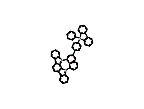 c1ccc(-n2c3ccccc3c3ccc4c5ccccc5n(-c5cccc(-c6ccc([Si]7(c8ccccc8)c8ccccc8-c8ccccc87)cc6)c5)c4c32)cc1